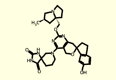 C[C@H]1CN2CCC[C@@]2(COc2nc3c(c(N4CCCC5(C4)NC(=O)NC5=O)n2)COC2(CCc4ccc(O)cc42)C3)C1